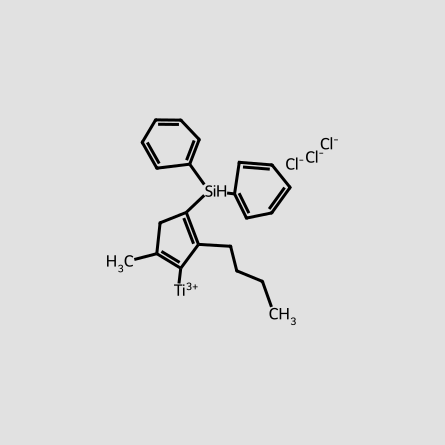 CCCCC1=C([SiH](c2ccccc2)c2ccccc2)CC(C)=[C]1[Ti+3].[Cl-].[Cl-].[Cl-]